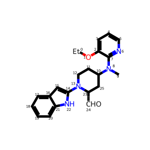 CCOc1cccnc1N(C)C1CCN(c2cc3ccccc3[nH]2)C(C=O)C1